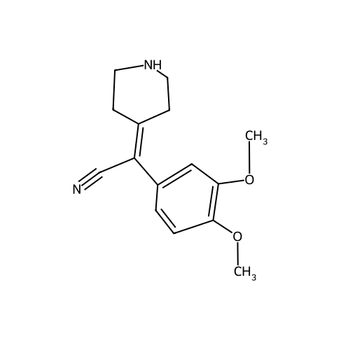 COc1ccc(C(C#N)=C2CCNCC2)cc1OC